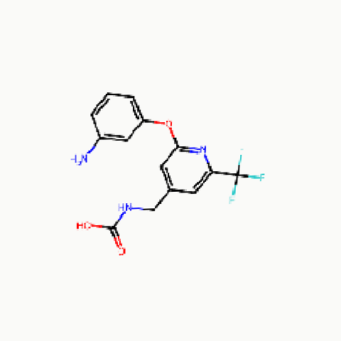 Nc1cccc(Oc2cc(CNC(=O)O)cc(C(F)(F)F)n2)c1